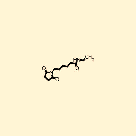 CCNC(=O)CCCCCN1C(=O)CCC1=O